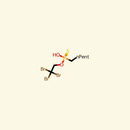 CCCCCCP(O)(=S)OCC(Br)(Br)Br